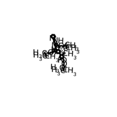 CCc1cc(OCOCC[Si](C)(C)C)c(F)cc1-c1ccc2c(-c3nc(CNc4ccccn4)cn3COCC[Si](C)(C)C)nn(COCC[Si](C)(C)C)c2c1